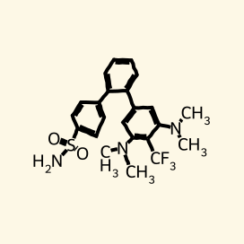 CN(C)c1cc(-c2ccccc2-c2ccc(S(N)(=O)=O)cc2)cc(N(C)C)c1C(F)(F)F